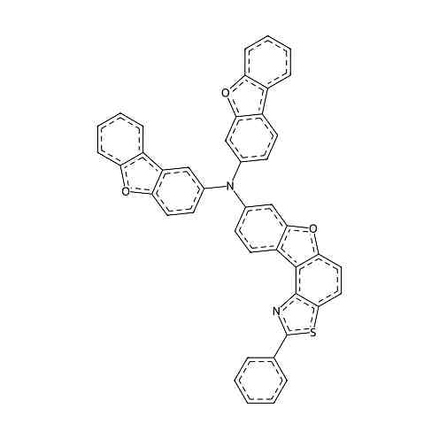 c1ccc(-c2nc3c(ccc4oc5cc(N(c6ccc7c(c6)oc6ccccc67)c6ccc7oc8ccccc8c7c6)ccc5c43)s2)cc1